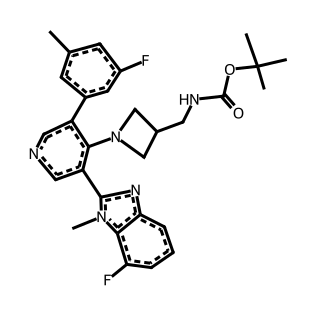 Cc1cc(F)cc(-c2cncc(-c3nc4cccc(F)c4n3C)c2N2CC(CNC(=O)OC(C)(C)C)C2)c1